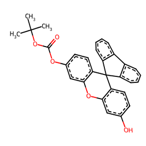 CC(C)(C)OC(=O)Oc1ccc2c(c1)Oc1cc(O)ccc1C21c2ccccc2-c2ccccc21